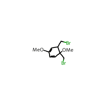 COC1=CC(CBr)C(CBr)(OC)C=C1